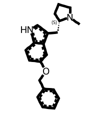 CN1CCC[C@H]1Cc1c[nH]c2ccc(OCc3ccccc3)cc12